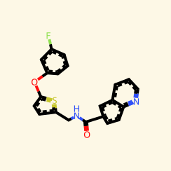 O=C(NCc1ccc(Oc2cccc(F)c2)s1)c1ccc2ncccc2c1